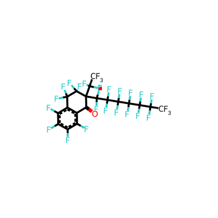 O=C1c2c(F)c(F)c(F)c(F)c2C(F)(F)C(F)(F)C1(C(F)(F)C(F)(F)F)C(F)(F)C(F)(F)C(F)(F)C(F)(F)C(F)(F)C(F)(F)C(F)(F)F